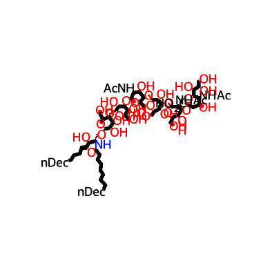 CCCCCCCCCCCCC/C=C/[C@@H](O)[C@H](CO[C@@H]1OC(CO)[C@@H](O[C@@H]2OC(CO)[C@H](O)[C@H](O[C@@H]3OC(CO)[C@@H](O[C@@H]4OC(CO)[C@H](O)[C@H](O[C@@H]5OC(CO)[C@H](O)[C@H](O[C@]6(C(=O)O)CC(O)[C@@H](NC(C)=O)C([C@H](O)[C@H](O)CO)O6)C5NC(C)=O)C4O)[C@H](O)C3NC(C)=O)C2O)[C@H](O)C1O)NC(=O)CCCCCCCCCCCCCCCCC